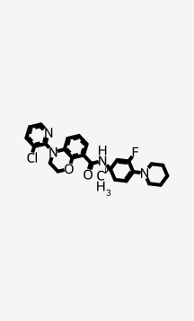 C[C@]1(NC(=O)c2cccc3c2OCCN3c2ncccc2Cl)C=C(F)C(N2CCCCC2)=CC1